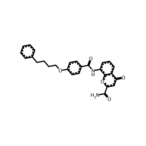 NC(=O)c1cc(=O)c2cccc(NC(=O)c3ccc(OCCCCc4ccccc4)cc3)c2o1